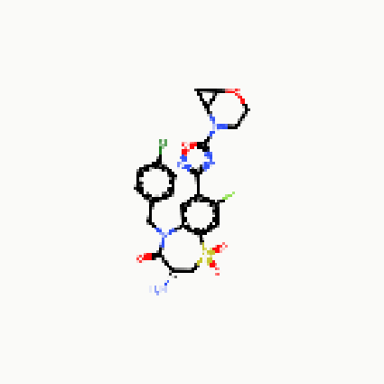 N[C@H]1CS(=O)(=O)c2cc(F)c(-c3noc(N4CCOC5CC54)n3)cc2N(Cc2ccc(Cl)cc2)C1=O